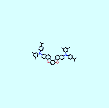 Cc1cc(C)cc(N(c2ccc(C(C)C)cc2)c2ccc3c(ccc4c3oc3ccc5oc6c7ccc(N(c8ccc(C(C)C)cc8)c8cc(C)cc(C)c8)cc7ccc6c5c34)c2)c1